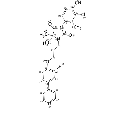 Cc1c(N2C(=O)N(CCCOc3ccc(-c4ccncc4)cc3F)C(C)(C)C2=O)ccc(C#N)c1Cl